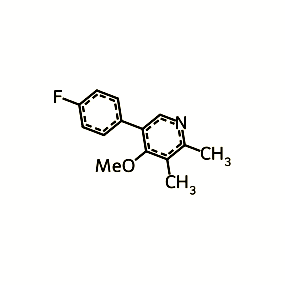 COc1c(-c2ccc(F)cc2)cnc(C)c1C